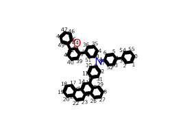 c1ccc(-c2ccc(N(c3ccc(-c4cc5c6ccccc6ccc5c5ccccc45)cc3)c3cccc(-c4cccc5c4oc4ccccc45)c3)cc2)cc1